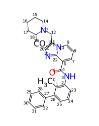 Cc1c(NC(=O)c2cccn3c(CN4CCCCC4C(=O)O)cnc23)cccc1-c1ccccc1